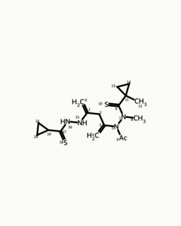 C=C(CC(=C)N(C(C)=O)N(C)C(=S)C1(C)CC1)NNC(=S)C1CC1